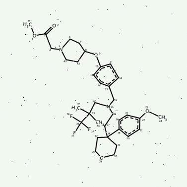 COC(=O)CN1CCC(Oc2ccc(CN(CCC3(c4ccc(OC)cc4)CCOCC3)CC(C)(C)C(F)(F)F)cc2)CC1